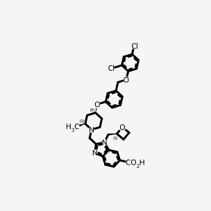 C[C@H]1C[C@H](Oc2cccc(COc3ccc(Cl)cc3Cl)c2)CCN1Cc1nc2ccc(C(=O)O)cc2n1C[C@@H]1CCO1